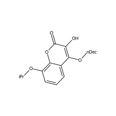 CCCCCCCCCCOc1c(O)c(=O)oc2c(OC(C)C)cccc12